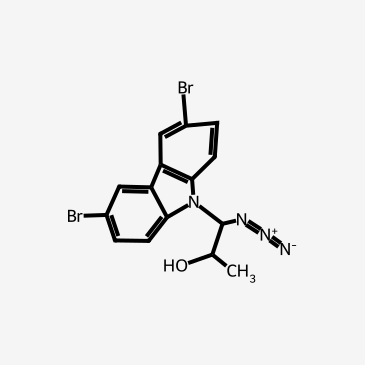 CC(O)C(N=[N+]=[N-])n1c2ccc(Br)cc2c2cc(Br)ccc21